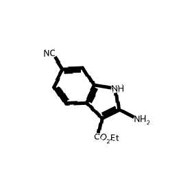 CCOC(=O)c1c(N)[nH]c2cc(C#N)ccc12